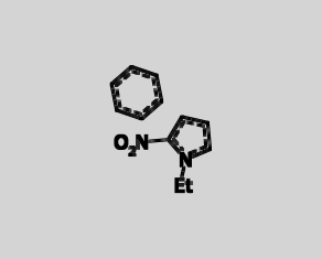 CCn1cccc1[N+](=O)[O-].c1ccccc1